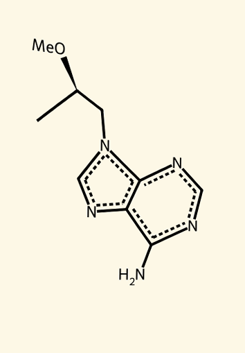 CO[C@H](C)Cn1cnc2c(N)ncnc21